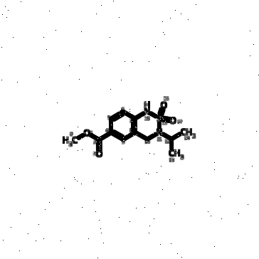 COC(=O)c1ccc2c(c1)CN(C(C)C)S(=O)(=O)N2